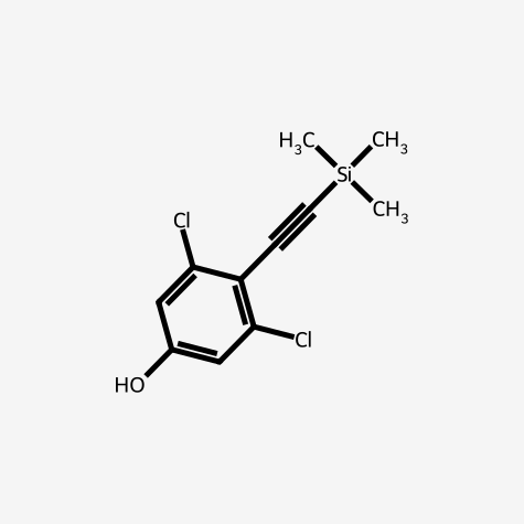 C[Si](C)(C)C#Cc1c(Cl)cc(O)cc1Cl